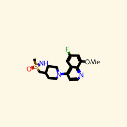 COc1cc(F)cc2c(N3CCC(CS(C)(=N)=O)CC3)ccnc12